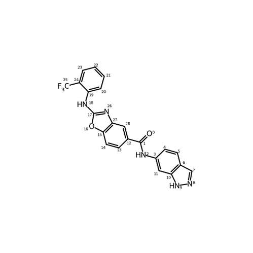 O=C(Nc1ccc2cn[nH]c2c1)c1ccc2oc(Nc3ccccc3C(F)(F)F)nc2c1